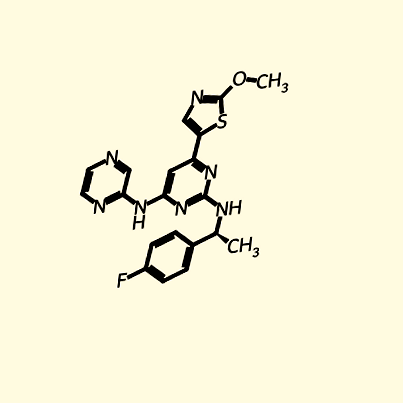 COc1ncc(-c2cc(Nc3cnccn3)nc(N[C@@H](C)c3ccc(F)cc3)n2)s1